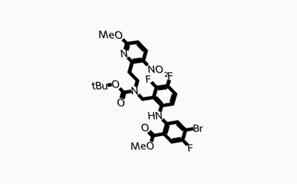 COC(=O)c1cc(F)c(Br)cc1Nc1ccc(F)c(F)c1CN(CCc1nc(OC)ccc1[N+](=O)[O-])C(=O)OC(C)(C)C